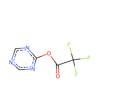 O=C(Oc1ncncn1)C(F)(F)F